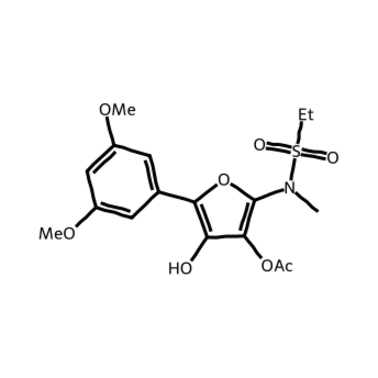 CCS(=O)(=O)N(C)c1oc(-c2cc(OC)cc(OC)c2)c(O)c1OC(C)=O